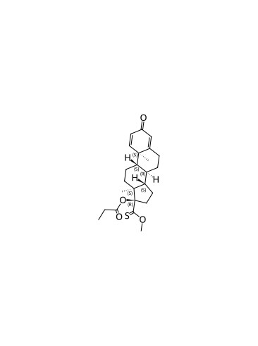 CCC(=O)O[C@]1(C(=S)OC)CC[C@H]2[C@@H]3CCC4=CC(=O)C=C[C@]4(C)[C@H]3CC[C@@]21C